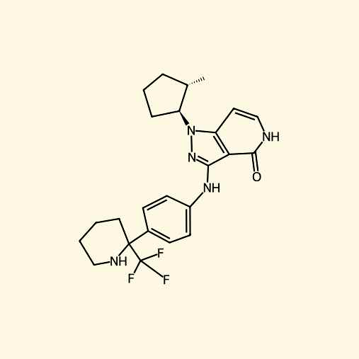 C[C@H]1CCC[C@@H]1n1nc(Nc2ccc(C3(C(F)(F)F)CCCCN3)cc2)c2c(=O)[nH]ccc21